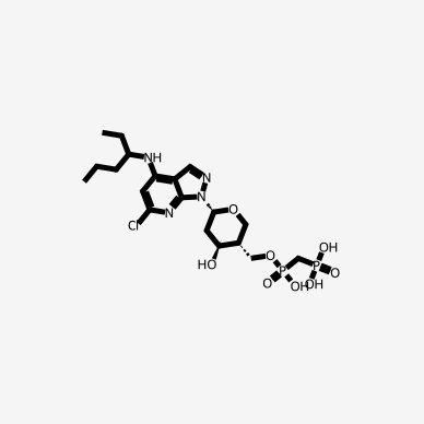 CCCC(CC)Nc1cc(Cl)nc2c1cnn2[C@H]1C[C@H](O)[C@@H](COP(=O)(O)CP(=O)(O)O)CO1